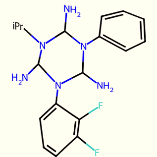 CC(C)N1C(N)N(c2ccccc2)C(N)N(c2cccc(F)c2F)C1N